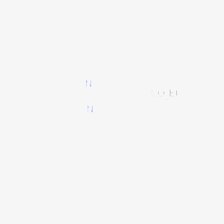 CCOC(=O)c1cnn(C2CC2)c1